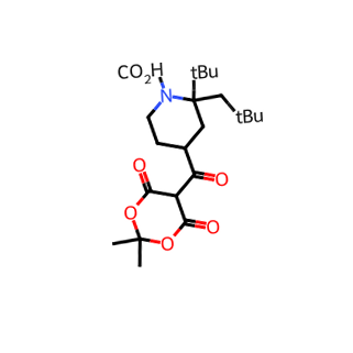 CC(C)(C)CC1(C(C)(C)C)CC(C(=O)C2C(=O)OC(C)(C)OC2=O)CCN1C(=O)O